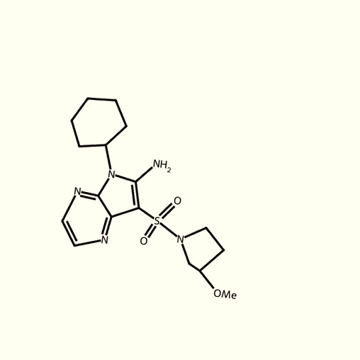 COC1CCN(S(=O)(=O)c2c(N)n(C3CCCCC3)c3nccnc23)C1